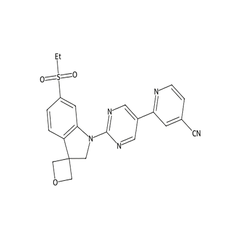 CCS(=O)(=O)c1ccc2c(c1)N(c1ncc(-c3cc(C#N)ccn3)cn1)CC21COC1